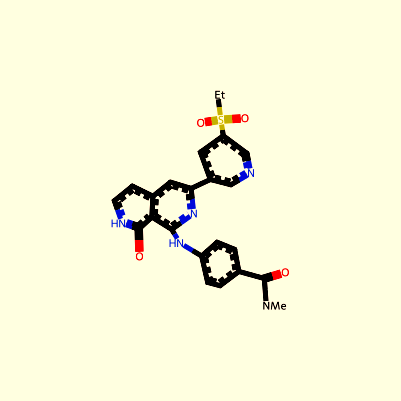 CCS(=O)(=O)c1cncc(-c2cc3cc[nH]c(=O)c3c(Nc3ccc(C(=O)NC)cc3)n2)c1